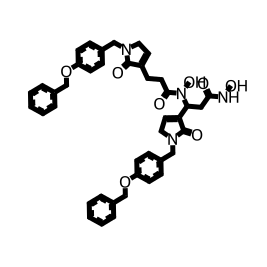 O=C(CC(C1=CCN(Cc2ccc(OCc3ccccc3)cc2)C1=O)N(O)C(=O)CCC1=CCN(Cc2ccc(OCc3ccccc3)cc2)C1=O)NO